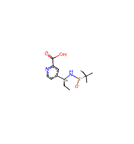 CC[C@H](N[S+]([O-])C(C)(C)C)c1ccnc(C(=O)O)c1